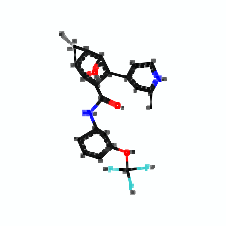 Cc1cc(-c2c(C(=O)Nc3cccc(OC(F)(F)F)c3)c3oc2c2c3[C@@H]2C)ccn1